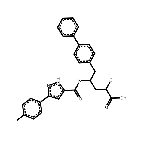 O=C(NC(Cc1ccc(-c2ccccc2)cc1)CC(O)C(=O)O)c1cc(-c2ccc(F)cc2)n[nH]1